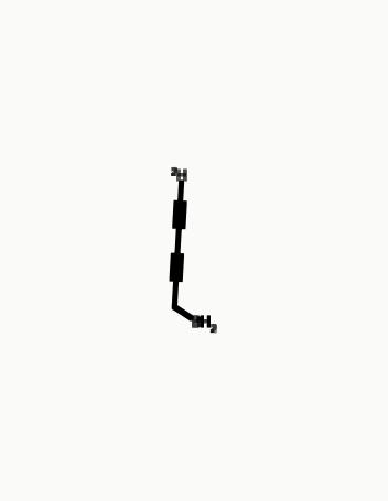 [2H]C#CC#CCB